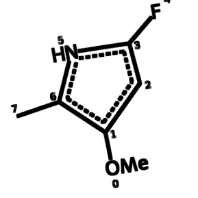 COc1cc(F)[nH]c1C